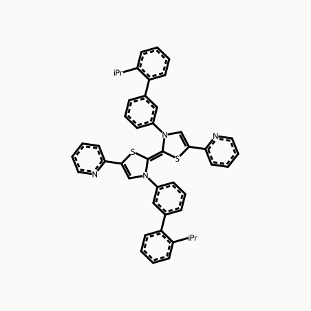 CC(C)c1ccccc1-c1cccc(N2C=C(c3ccccn3)S/C2=C2/SC(c3ccccn3)=CN2c2cccc(-c3ccccc3C(C)C)c2)c1